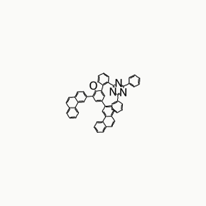 c1ccc(-c2nc(-c3ccccc3)nc(-c3cccc4oc5c(-c6ccc7ccc8ccccc8c7c6)cc(-c6ccc7ccc8ccccc8c7c6)cc5c34)n2)cc1